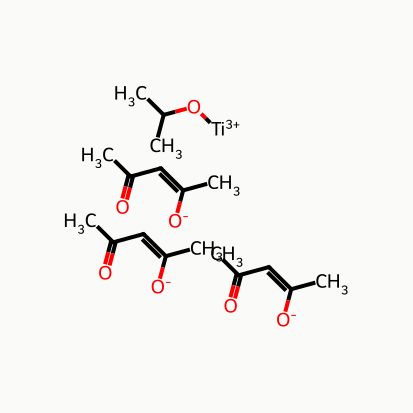 CC(=O)/C=C(/C)[O-].CC(=O)/C=C(/C)[O-].CC(=O)/C=C(/C)[O-].CC(C)[O][Ti+3]